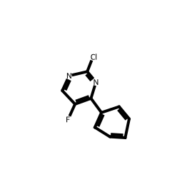 Fc1cnc(Cl)nc1-c1ccccc1